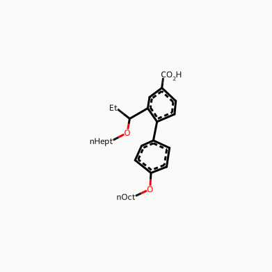 CCCCCCCCOc1ccc(-c2ccc(C(=O)O)cc2C(CC)OCCCCCCC)cc1